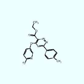 CCOC(=O)c1nnc(-c2ccc(C)cc2)nc1Oc1ccc(Cl)nc1